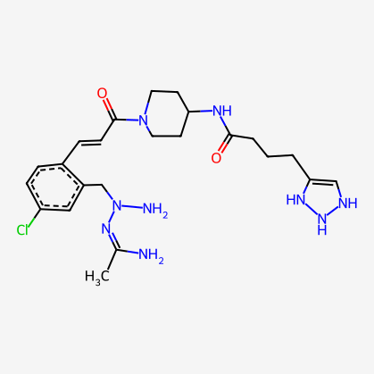 C/C(N)=N/N(N)Cc1cc(Cl)ccc1/C=C/C(=O)N1CCC(NC(=O)CCCC2=CNNN2)CC1